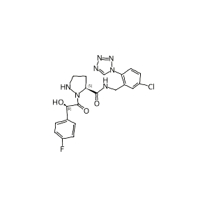 O=C(NCc1cc(Cl)ccc1-n1cnnn1)[C@@H]1CCNN1C(=O)[C@H](O)c1ccc(F)cc1